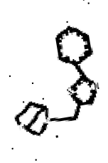 c1ccc(-c2ncc(CN3CCN4CCC3CC4)s2)cc1